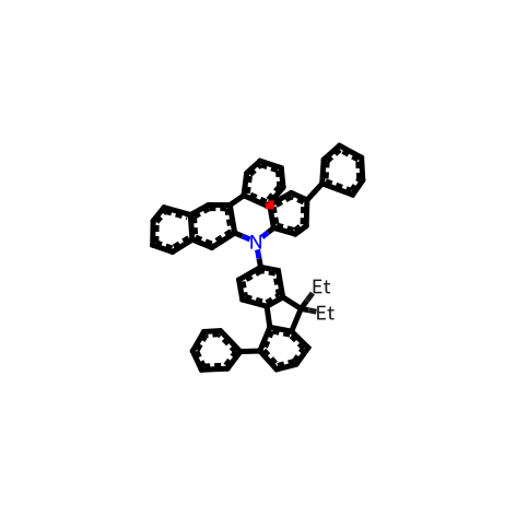 CCC1(CC)c2cc(N(c3ccc(-c4ccccc4)cc3)c3cc4ccccc4cc3-c3ccccc3)ccc2-c2c(-c3ccccc3)cccc21